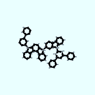 c1ccc(-c2cccc(-n3c4ccccc4c4c5c6ccccc6n(-c6ccc7c8ccccc8n(-c8nc(-c9ccccc9)cc(-c9ccccc9)n8)c7c6)c5ccc43)c2)cc1